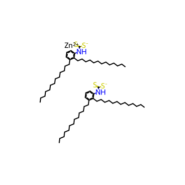 CCCCCCCCCCCCCc1cccc(NC(=S)[S-])c1CCCCCCCCCCCCC.CCCCCCCCCCCCCc1cccc(NC(=S)[S-])c1CCCCCCCCCCCCC.[Zn+2]